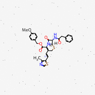 COc1ccc(COC(=O)C2=C(/C=C/c3scnc3C)CS[C@@H]3C(NC(=O)Cc4ccccc4)C(=O)N23)cc1